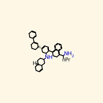 CCCC(N)C1=c2ccccc2=C(C2=CC=C([C@H]3C=C(C4=CC=CCC4)CCC3)CC2NC2CC[C@H]3CCC=CC3C2)CC1